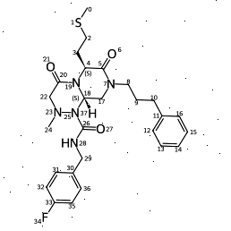 CSCC[C@H]1C(=O)N(CCCc2ccccc2)C[C@H]2N1C(=O)CN(C)N2C(=O)NCc1ccc(F)cc1